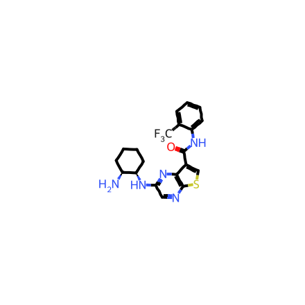 N[C@H]1CCCC[C@H]1Nc1cnc2scc(C(=O)Nc3ccccc3C(F)(F)F)c2n1